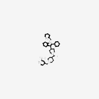 Nc1cc(CN2CCC(C(=O)N3CCC(c4c(-c5ccccc5)n(Cc5ccccn5)c5ccccc45)CC3)CC2)ccn1